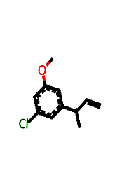 C=C[C](C)c1cc(Cl)cc(OC)c1